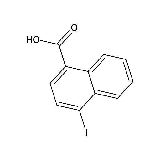 O=C(O)c1ccc(I)c2ccccc12